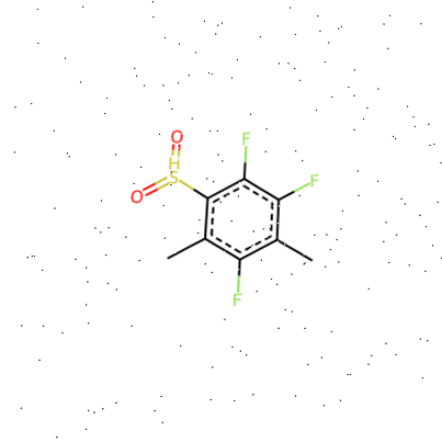 Cc1c(F)c(C)c([SH](=O)=O)c(F)c1F